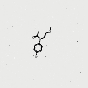 COCCN(C(C)=O)c1ccc(Br)cc1